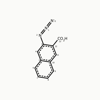 [N-]=[N+]=Nc1cc2ccccc2cc1C(=O)O